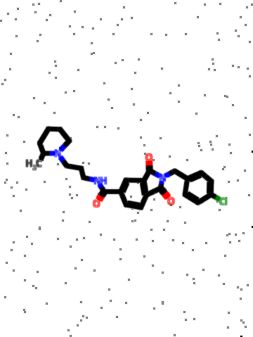 CC1CCCCN1CCCNC(=O)c1ccc2c(c1)C(=O)N(Cc1ccc(Cl)cc1)C2=O